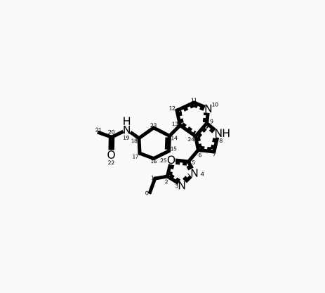 CCc1nnc(-c2c[nH]c3nccc(C4=CCCC(NC(C)=O)C4)c23)o1